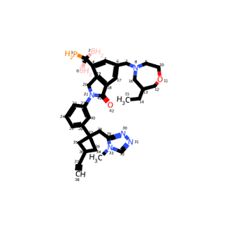 BC(B)(P)c1cc(CN2CCOCC(CC)C2)cc2c1CN(c1cccc(C3(Cc4nncn4C)CC(C#C)C3)c1)C2=O